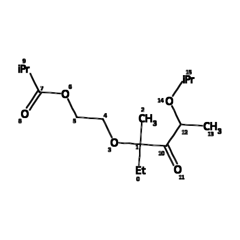 CCC(C)(OCCOC(=O)C(C)C)C(=O)C(C)OC(C)C